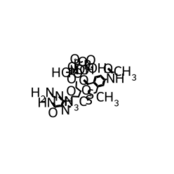 CSSC(C)c1cc(NC(C)=O)ccc1C(=O)O[C@@H]1C[C@H](n2cnc3c(=O)[nH]c(N)nc32)OC1COP(=O)(O)OP(=O)(O)OP(=O)(O)O